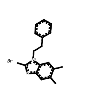 Cc1cc2sc(C)[n+](CCc3ccccc3)c2cc1C.[Br-]